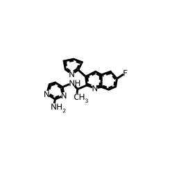 CC(Nc1ccnc(N)n1)c1nc2ccc(F)cc2cc1-c1ccccn1